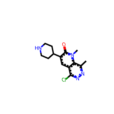 Cc1nnc(Cl)c2cc(C3CCNCC3)c(=O)n(C)c12